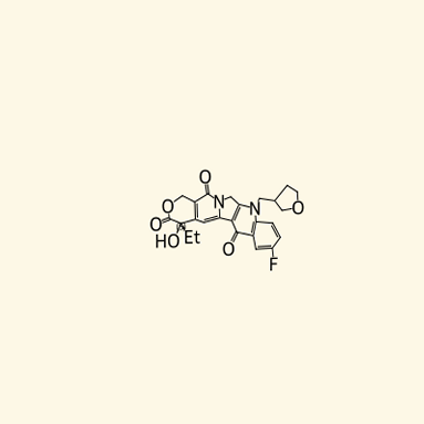 CC[C@@]1(O)C(=O)OCc2c1cc1n(c2=O)Cc2c-1c(=O)c1cc(F)ccc1n2CC1CCOC1